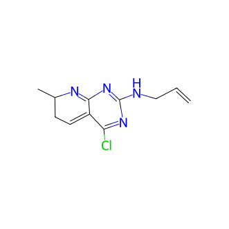 C=CCNc1nc(Cl)c2c(n1)=NC(C)CC=2